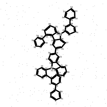 c1ccc(-c2cccc(-c3ccccc3-n3c4ccccc4c4cc(-c5ccc6c(c5)c5c(-c7ccccc7)cccc5n6-c5cccc(-c6ccccc6)c5)ccc43)c2)cc1